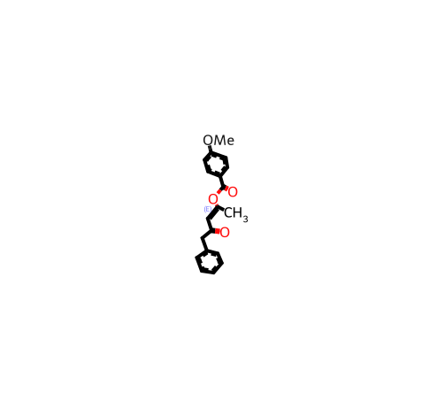 COc1ccc(C(=O)O/C(C)=C/C(=O)Cc2ccccc2)cc1